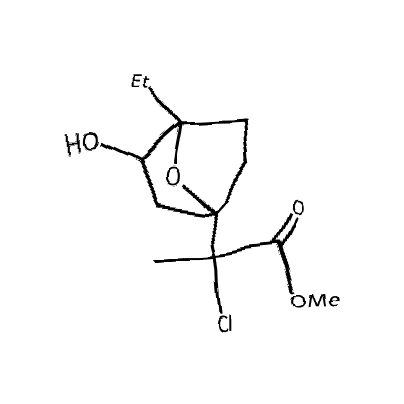 CCC12CCC(C(C)(Cl)C(=O)OC)(CC1O)O2